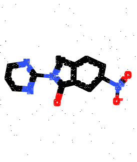 O=c1c2cc([N+](=O)[O-])ccc2[se]n1-c1ncccn1